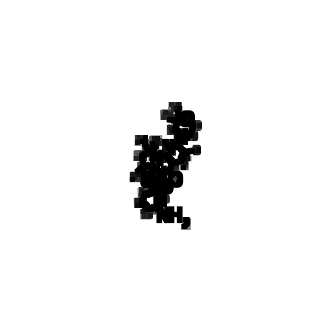 Cc1cc(C(=O)NS(=O)(=O)c2cccc(N)n2)c(N2C[C@@H](C)CC2(C)C)nc1N1CCOC(C)(C)C1